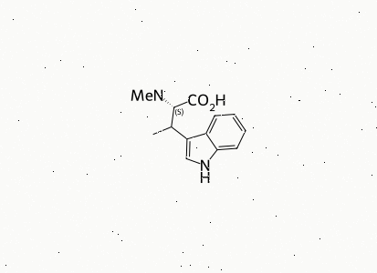 CN[C@H](C(=O)O)C(C)c1c[nH]c2ccccc12